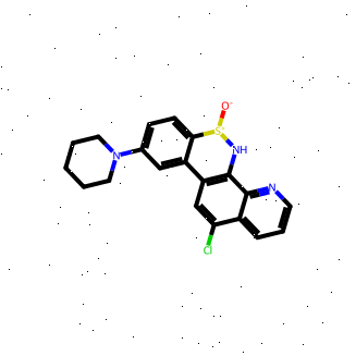 [O-][S+]1Nc2c(cc(Cl)c3cccnc23)-c2cc(N3CCCCC3)ccc21